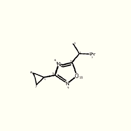 CC(C)C(C)c1nc(C2CC2)no1